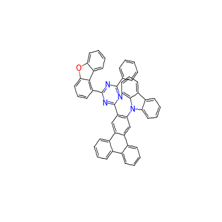 c1ccc(-c2nc(-c3cc4c5ccccc5c5ccccc5c4cc3-n3c4ccccc4c4ccccc43)nc(-c3cccc4oc5ccccc5c34)n2)cc1